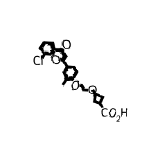 Cc1cc(-c2cc(=O)c3cccc(Cl)c3o2)ccc1OCCOC1CC(C(=O)O)C1